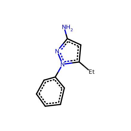 CCc1cc(N)nn1-c1ccccc1